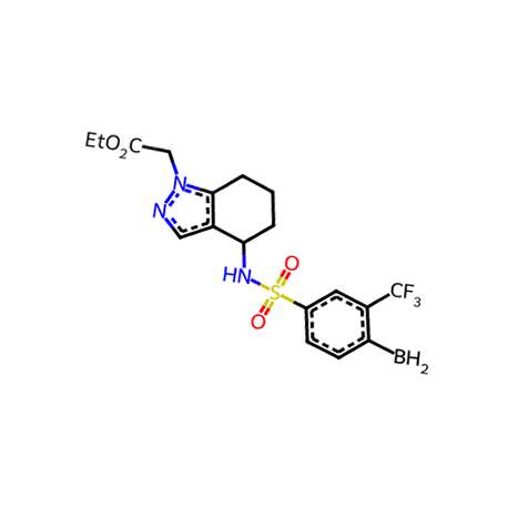 Bc1ccc(S(=O)(=O)NC2CCCc3c2cnn3CC(=O)OCC)cc1C(F)(F)F